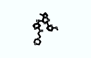 COc1cccc(-c2nc(Nc3ccnc(NCCN4CCOCC4)c3)c3c(C)ccn3n2)n1